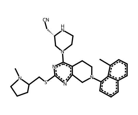 Cc1cccc2cccc(N3CCc4c(nc(SCC5CCCN5C)nc4N4CCN[C@@H](CC#N)C4)C3)c12